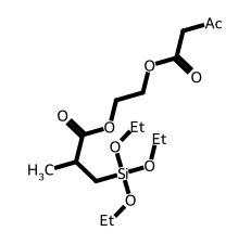 CCO[Si](CC(C)C(=O)OCCOC(=O)CC(C)=O)(OCC)OCC